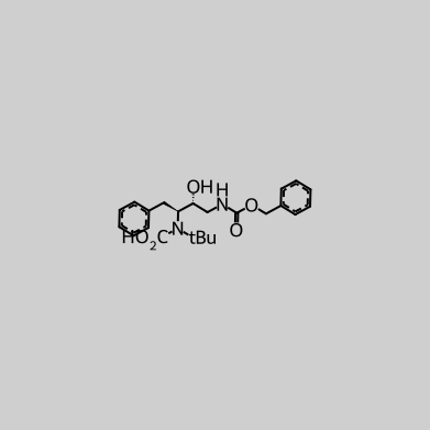 CC(C)(C)N(C(=O)O)[C@@H](Cc1ccccc1)[C@H](O)CNC(=O)OCc1ccccc1